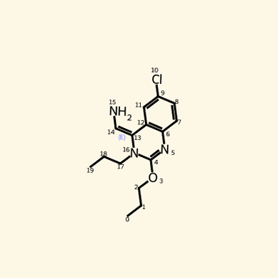 CCCOC1=Nc2ccc(Cl)cc2/C(=C\N)N1CCC